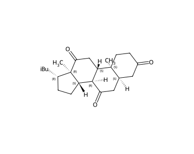 CCC(C)[C@H]1CC[C@H]2[C@@H]3C(=O)C[C@@H]4CC(=O)CC[C@]4(C)[C@H]3CC(=O)[C@]12C